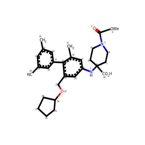 COC(=O)N1CCC(Nc2cc(C)c(-c3cc(C)cc(C#N)c3)c(COC3CCCC3)c2)(C(=O)O)CC1